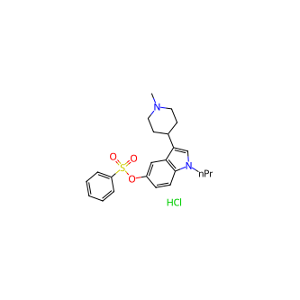 CCCn1cc(C2CCN(C)CC2)c2cc(OS(=O)(=O)c3ccccc3)ccc21.Cl